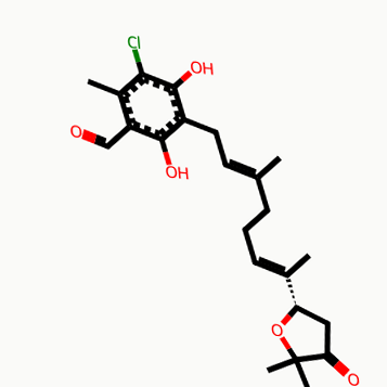 C/C(=C\Cc1c(O)c(Cl)c(C)c(C=O)c1O)CC/C=C(\C)[C@@H]1CC(=O)C(C)(C)O1